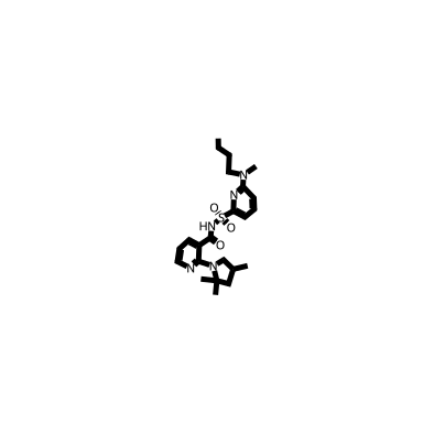 CCCCN(C)c1cccc(S(=O)(=O)NC(=O)c2cccnc2N2CC(C)CC2(C)C)n1